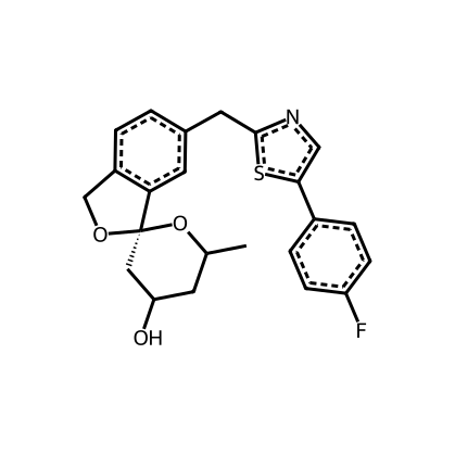 CC1CC(O)C[C@@]2(OCc3ccc(Cc4ncc(-c5ccc(F)cc5)s4)cc32)O1